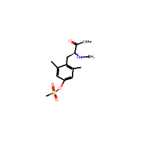 BN[C@@H](Cc1c(C)cc(OS(C)(=O)=O)cc1C)C(=O)OC